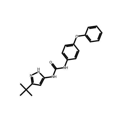 CC(C)(C)c1cc(NC(=O)Nc2ccc(Oc3ccccc3)cc2)[nH]n1